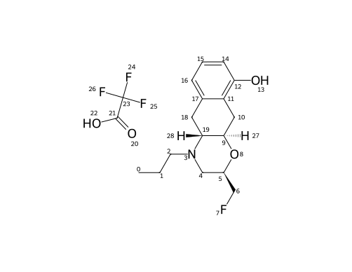 CCCN1C[C@H](CF)O[C@@H]2Cc3c(O)cccc3C[C@H]21.O=C(O)C(F)(F)F